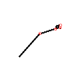 C#CC#CC#CC#CC#CC#CC#CC#CC#CC#CC#COCCCCCCCCCCCCOc1ccc(C=O)c(OC)c1